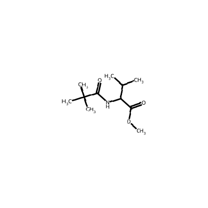 COC(=O)C(NC(=O)C(C)(C)C)C(C)C